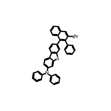 CC(C)c1cc2ccccc2c(-c2ccc3c(c2)sc2cc(N(C4=CC=C=C=C4)c4ccccc4)ccc23)c1-c1ccccc1